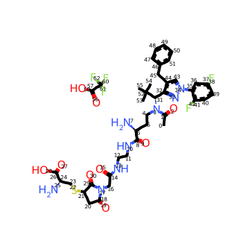 CC(=O)N(CC[C@H](N)C(=O)NCCNC(=O)CN1C(=O)CC(SC[C@H](N)C(=O)O)C1=O)[C@@H](c1nn(-c2cc(F)ccc2F)cc1Cc1ccccc1)C(C)(C)C.O=C(O)C(F)(F)F